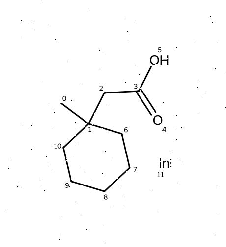 CC1(CC(=O)O)CCCCC1.[In]